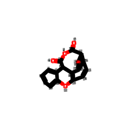 O=C1OC(=O)C2c3ccccc3Oc3ccc4c1cccc4c32